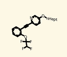 CCCCCCCOc1ccc(C#Cc2ccccc2OC(F)(F)C(F)F)nc1